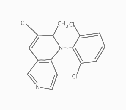 CC1C(Cl)=Cc2cnccc2N1c1c(Cl)cccc1Cl